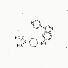 CN(C(=O)O)C1CCC(Nc2ccc3ncc(-c4ccncc4)n3n2)CC1